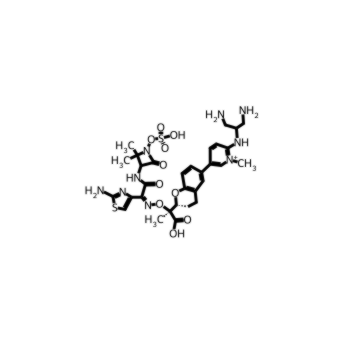 C[n+]1cc(-c2ccc3c(c2)CC[C@H]([C@](C)(O/N=C(\C(=O)NC2C(=O)N(OS(=O)(=O)O)C2(C)C)c2csc(N)n2)C(=O)O)O3)ccc1NC(CN)CN